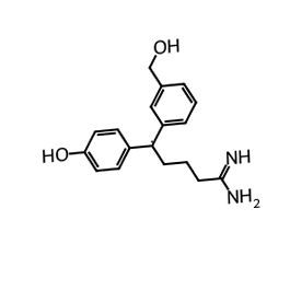 N=C(N)CCC[C](c1ccc(O)cc1)c1cccc(CO)c1